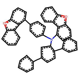 c1ccc(-c2ccc(-c3ccccc3)c(N(c3ccc(-c4cccc5oc6ccccc6c45)cc3)c3cccc4oc5ccccc5c34)c2)cc1